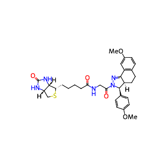 COc1ccc([C@@H]2[C@@H]3CCc4ccc(OC)cc4C3=NN2C(=O)CNC(=O)CCCC[C@@H]2SC[C@@H]3NC(=O)N[C@@H]32)cc1